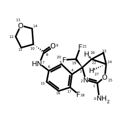 NC1=N[C@@](c2cc(NC(=O)[C@@H]3CCOC3)ccc2F)(C(F)F)[C@H]2C[C@H]2O1